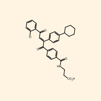 O=C(O)CCNC(=O)c1ccc(C(=O)C(=CC(=O)c2ccccc2Cl)c2ccc(C3CCCCC3)cc2)cc1